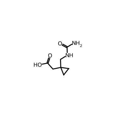 NC(=O)NCC1(CC(=O)O)CC1